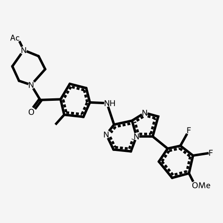 COc1ccc(-c2cnc3c(Nc4ccc(C(=O)N5CCN(C(C)=O)CC5)c(C)c4)nccn23)c(F)c1F